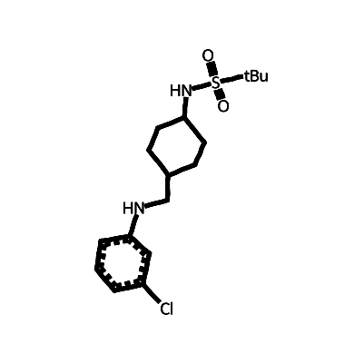 CC(C)(C)S(=O)(=O)NC1CCC(CNc2cccc(Cl)c2)CC1